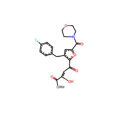 COC(=O)C(O)=CC(=O)c1oc(C(=O)N2CCOCC2)cc1Cc1ccc(F)cc1